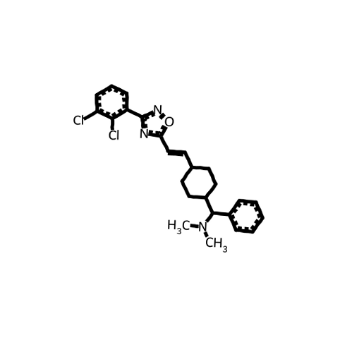 CN(C)C(c1ccccc1)C1CCC(/C=C/c2nc(-c3cccc(Cl)c3Cl)no2)CC1